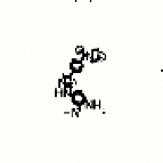 N=Cc1cc(Nc2ncc(-c3ccc(C(=O)N4CCOCC4)cc3)o2)ccc1N